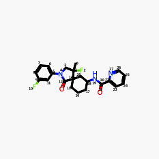 CC1(F)CN(c2cccc(F)c2)C(=O)C12CCCC(NC(=O)c1ccccn1)C2